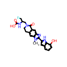 Cn1c(-c2cc3cccc(O)c3[nH]2)nc2cc3c(cc21)CCN(CC(CF)NC(=O)O)C3=O